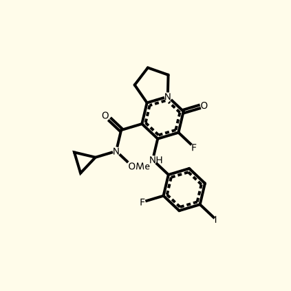 CON(C(=O)c1c(Nc2ccc(I)cc2F)c(F)c(=O)n2c1CCC2)C1CC1